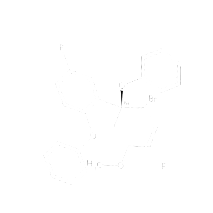 COC1=C[C@](Oc2ccccc2)(c2cc(F)ccc2Oc2ccccc2)C(Br)C=C1F